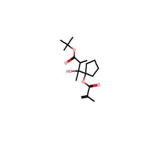 C=C(C)C(=O)OC1(C(C)(O)C(C)C(=O)OC(C)(C)C)CCCC1